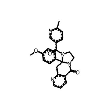 COc1ccc(C23Cc4ncccc4C(=O)N2CCN3C(=O)c2ccc(C)nc2)cc1